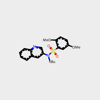 CCCCN(c1cnc2ccccc2c1)S(=O)(=O)c1cc(OC)ccc1OC